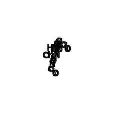 COc1cccc(N2CCN(c3ncc(NS(=O)(=O)c4cc(OC)ccc4OC)cc3Cl)CC2)c1